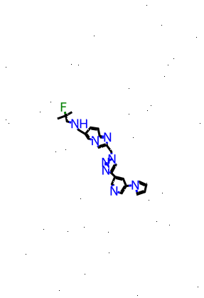 CC(C)(F)CNCc1ccc2nc(Cn3cc(-c4cncc(-n5cccc5)c4)nn3)cn2c1